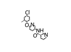 Cc1cc(Cl)ccc1Oc1ccc(NC(=O)c2cccnc2)cn1